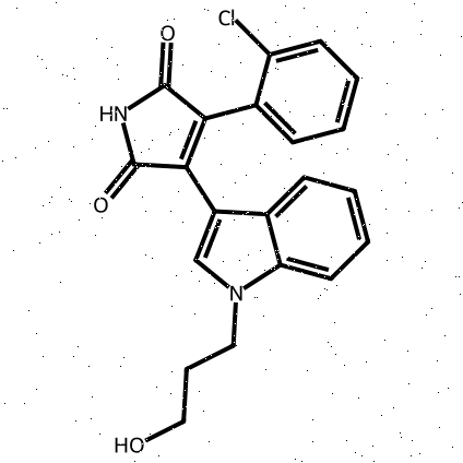 O=C1NC(=O)C(c2cn(CCCO)c3ccccc23)=C1c1ccccc1Cl